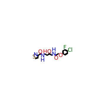 O=C(COc1ccc(Cl)c(F)c1)NC[C@@H](O)CCNC(=O)c1ccsn1